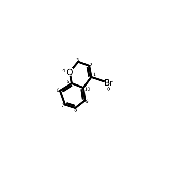 BrC1=CCOc2ccccc21